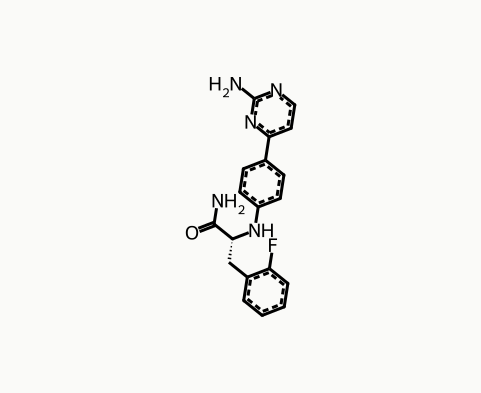 NC(=O)[C@@H](Cc1ccccc1F)Nc1ccc(-c2ccnc(N)n2)cc1